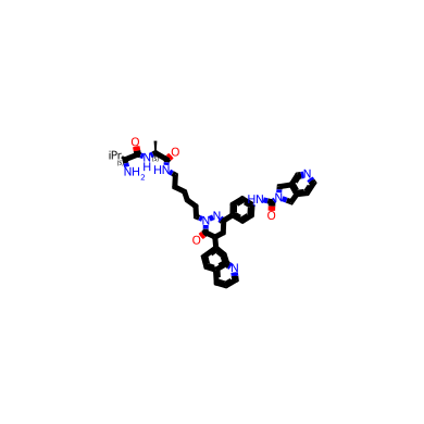 CC(C)[C@H](N)C(=O)N[C@@H](C)C(=O)NCCCCCCN1N=C(c2ccc(NC(=O)N3Cc4ccncc4C3)cc2)CC(c2ccc3cccnc3c2)C1=O